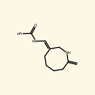 C=C1CCCC/C(=C\NC(=O)CCC)CN1